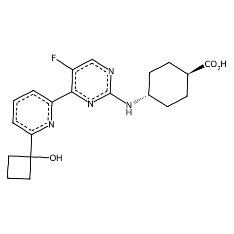 O=C(O)[C@H]1CC[C@H](Nc2ncc(F)c(-c3cccc(C4(O)CCC4)n3)n2)CC1